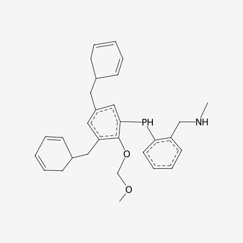 CNCc1ccccc1Pc1cc(CC2C=CC=CC2)cc(CC2C=CC=CC2)c1OCOC